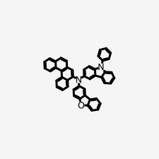 c1ccc(-n2c3ccccc3c3cc(N(c4ccc5oc6ccccc6c5c4)c4cc5ccc6ccccc6c5c5ccccc45)ccc32)cc1